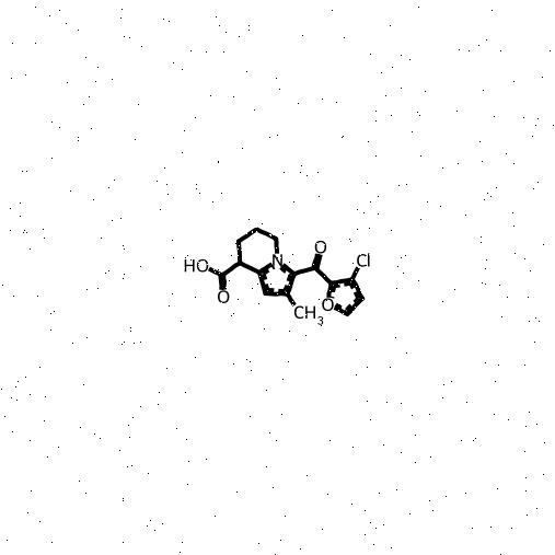 Cc1cc2n(c1C(=O)c1occc1Cl)CCCC2C(=O)O